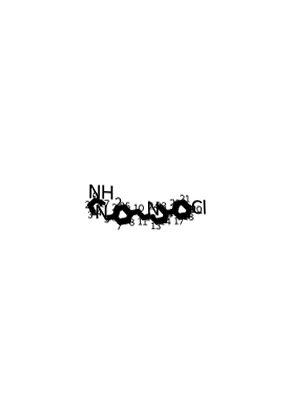 NC1CCN(Cc2ccc(CCc3ccc(-c4ccc(Cl)cc4)cn3)cc2)C1